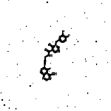 Cc1c(C#CCNC(=O)c2cncn(Cc3ccc(F)c(F)c3)c2=O)ccc2ncnc(O)c12